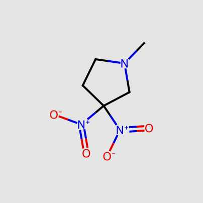 CN1CCC([N+](=O)[O-])([N+](=O)[O-])C1